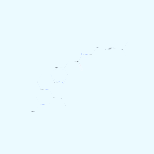 CCC1CN(CC)CC(CC)N1c1ncc(CC(=O)NCCC#CC(C)C)cn1